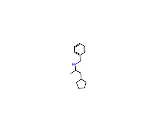 CC(CC1CCCC1)NCc1[c]cccc1